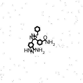 NC(=O)c1cccc(-c2c(-c3ccc4[nH]nc(N)c4c3)nnn2Cc2ccccc2)c1